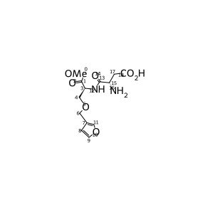 COC(=O)[C@H](COCc1ccoc1)NC(=O)[C@@H](N)CC(=O)O